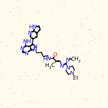 C=N/C(=N\C=C(/C)C(=O)NCCCCn1nc(-c2cnc3[nH]ccc3c2)c2c(N)ncnc21)N1CCN(CC)CC1